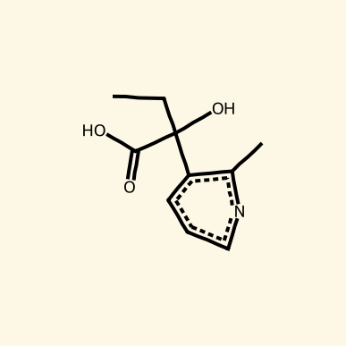 CCC(O)(C(=O)O)c1cccnc1C